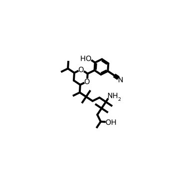 CC(O)CC(C)(C)C(C)(N)CCC(C)(C)C(C)C1CC(C(C)C)OC(c2cc(C#N)ccc2O)O1